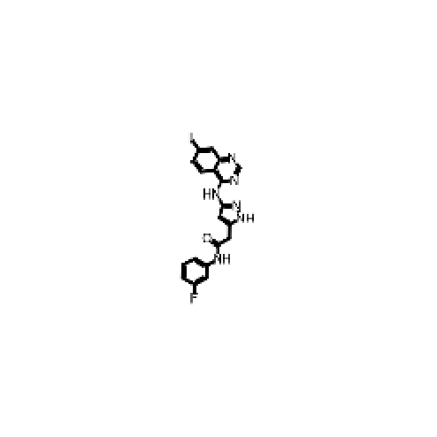 O=C(Cc1cc(Nc2ncnc3cc(I)ccc23)n[nH]1)Nc1cccc(F)c1